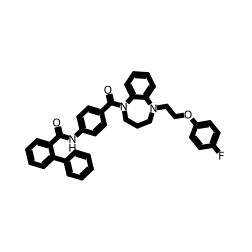 O=C(Nc1ccc(C(=O)N2CCCN(CCOc3ccc(F)cc3)c3ccccc32)cc1)c1ccccc1-c1ccccc1